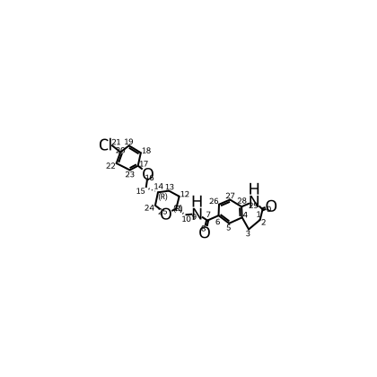 O=C1CCc2cc(C(=O)NC[C@H]3CC[C@@H](COc4ccc(Cl)cc4)CO3)ccc2N1